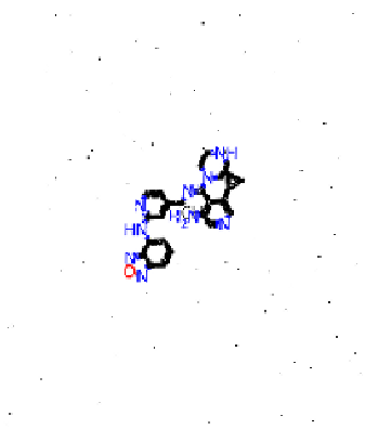 C=C(/N=C(\c1c(N)cncc1C1CC1)N1CCNCC1)c1ccnc(Nc2cccc3nonc23)c1